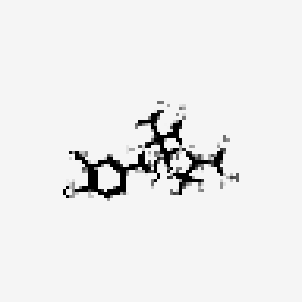 CC(=O)C1(NC(=O)c2ccc(Cl)c(Cl)c2)C(=O)N2[C@@H](C(=O)O)C(C)(C)S[C@@H]21